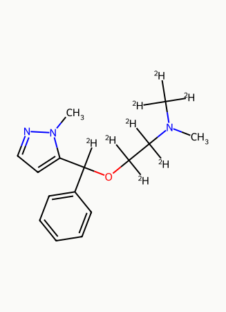 [2H]C(OC([2H])([2H])C([2H])([2H])N(C)C([2H])([2H])[2H])(c1ccccc1)c1ccnn1C